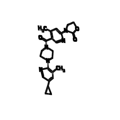 Cc1cc(N2CCOC2=O)ncc1C(=O)N1CCN(c2ncc(C3CC3)cc2C)CC1